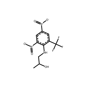 CC(O)CNc1c([N+](=O)[O-])cc([N+](=O)[O-])cc1C(F)(F)F